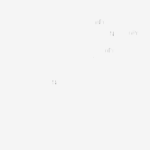 CCCN(CCC)CCC.c1ccc(N(c2ccccc2)c2ccccc2)cc1